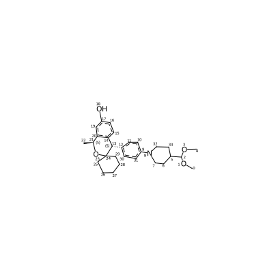 COC(OC)C1CCN(c2ccc([C@H]3c4ccc(O)cc4[C@H](C)OC34CCCCC4)cc2)CC1